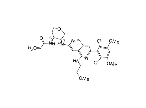 C=CC(=O)N[C@H]1CCOC[C@H]1Nc1cc2c(NCCOC)nc(-c3c(Cl)c(OC)cc(OC)c3Cl)cc2cn1